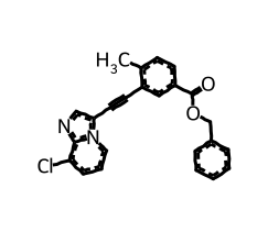 Cc1ccc(C(=O)OCc2ccccc2)cc1C#Cc1cnc2c(Cl)cccn12